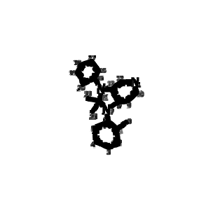 Cc1ccccc1N1c2ccncc2N(c2ccccc2)C1(C)C